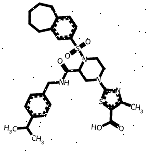 Cc1nc(N2CCN(S(=O)(=O)c3ccc4c(c3)CCCCC4)C(C(=O)NCc3ccc(C(C)C)cc3)C2)sc1C(=O)O